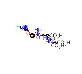 O=C(O)CCC(NC(=O)NC(CCCCNC(=O)Nc1cccc(OCc2cn(CCF)nn2)c1)C(=O)O)C(=O)O